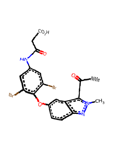 CNC(=O)c1c2cc(Oc3c(Br)cc(NC(=O)CC(=O)O)cc3Br)ccc2nn1C